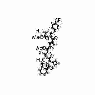 COC(=O)[C@@H](C)C[C@H](Cc1ccc(C(F)(F)F)cc1)NC(=O)c1csc([C@@H](C[C@H](C(C)C)N(C)C(=O)[C@@H](NC(=O)[C@H]2CCCCN2C)C2CCC2)OC(C)=O)n1